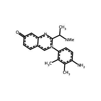 CNC(C)c1nc2cc(=O)ccc-2cn1-c1ccc(N)c(C)c1C